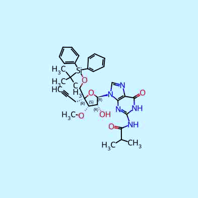 C#CC[C@]1(CO[Si](c2ccccc2)(c2ccccc2)C(C)(C)C)O[C@@H](n2cnc3c(=O)[nH]c(NC(=O)C(C)C)nc32)[C@H](O)[C@@H]1OC